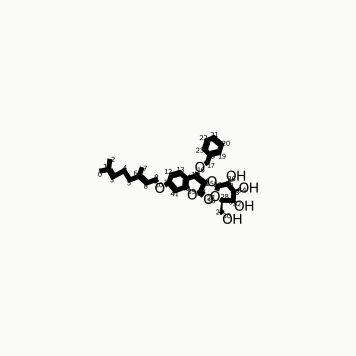 CC(C)=CCC/C(C)=C/COc1ccc2c(OCc3ccccc3)c(O[C@@H]3O[C@H](CO)[C@@H](O)[C@H](O)[C@H]3O)c(=O)oc2c1